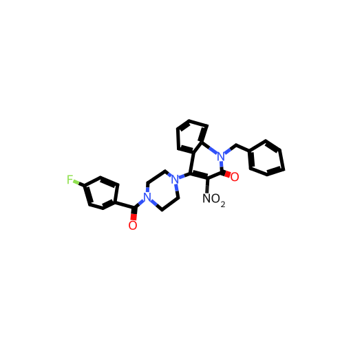 O=C(c1ccc(F)cc1)N1CCN(c2c([N+](=O)[O-])c(=O)n(Cc3ccccc3)c3ccccc23)CC1